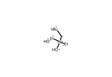 CCCCC[N+](O)(CC)CC.[OH-]